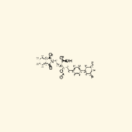 O=CO[C@H](CCc1ccc(-c2cc(F)cc(F)c2)cc1)[C@@H](CCN1C(=O)c2ccccc2C1=O)C(=O)O